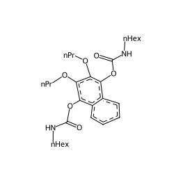 CCCCCCNC(=O)Oc1c(OCCC)c(OCCC)c(OC(=O)NCCCCCC)c2ccccc12